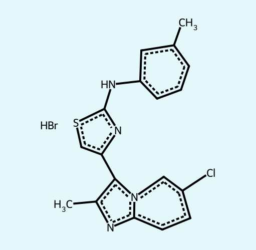 Br.Cc1cccc(Nc2nc(-c3c(C)nc4ccc(Cl)cn34)cs2)c1